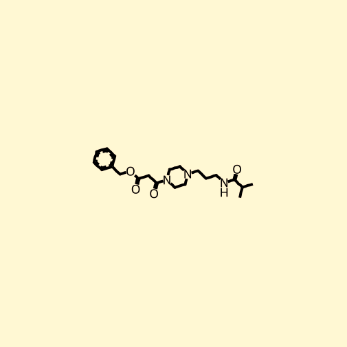 CC(C)C(=O)NCCCN1CCN(C(=O)CC(=O)OCc2ccccc2)CC1